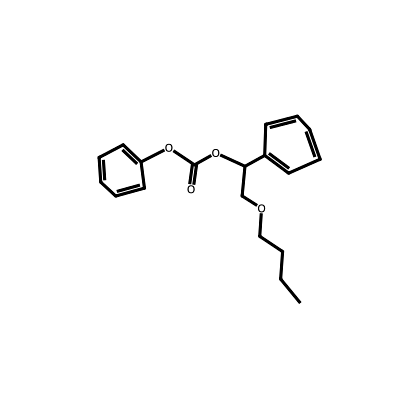 CCCCOCC(OC(=O)Oc1ccccc1)c1ccccc1